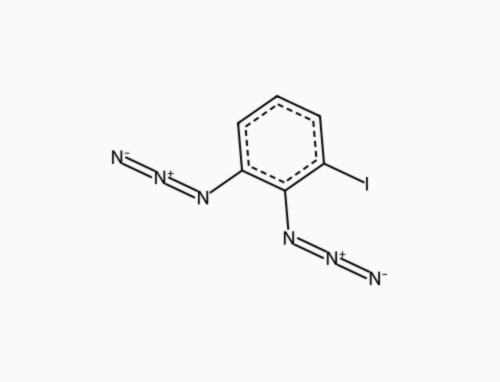 [N-]=[N+]=Nc1cccc(I)c1N=[N+]=[N-]